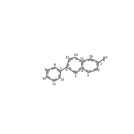 Ic1ccc2[c]c(-c3ccccc3)ccc2c1